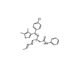 C/C=N/N=C/[C@H](CC(=O)Nc1ccccc1)/N=C(/c1ccc(Cl)cc1)c1csc(C)c1C